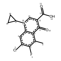 Cc1c(F)c(Cl)cc2c1c(=O)c(C(=O)O)cn2C1CC1